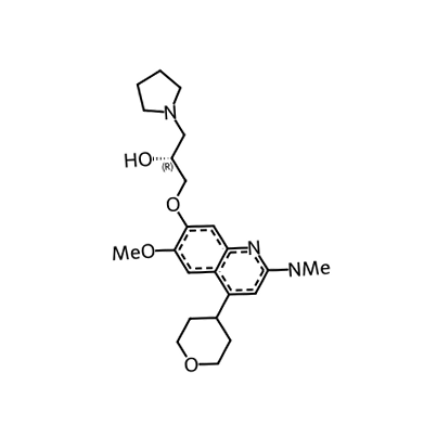 CNc1cc(C2CCOCC2)c2cc(OC)c(OC[C@H](O)CN3CCCC3)cc2n1